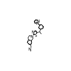 C=NCc1ccc2c(c1)CN(c1ncc(C(C)c3cccc(-n4cccn4)c3)s1)CC2